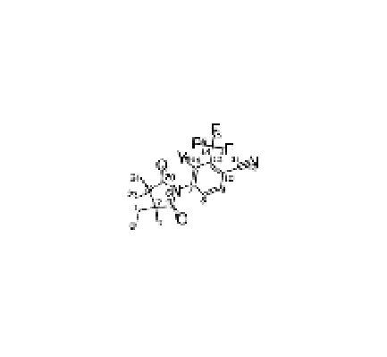 CCC1(C)C(=O)N(c2ccc(C#N)c(C(F)(F)F)[c]2[Y])C(=O)C1(C)C